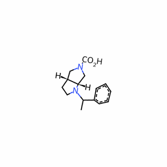 CC(c1ccccc1)N1CC[C@@H]2CN(C(=O)O)C[C@@H]21